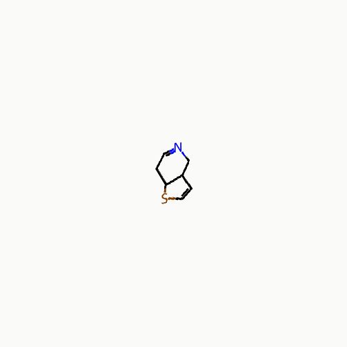 C1=CC2CN=CCC2S1